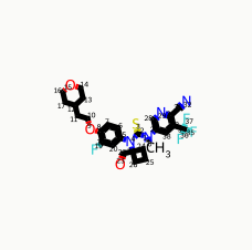 CN(C(=S)N(c1ccc(OCCC2CCOCC2)c(F)c1)C1(C=O)CCC1)c1cnc(C#N)c(C(F)(F)F)c1